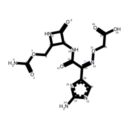 NC(=O)OCC1NC(=O)C1NC(=O)/C(=N\OCC(=O)O)c1cnc(N)s1